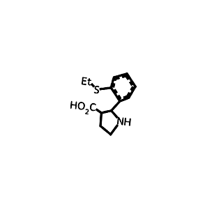 CCSc1ccccc1C1NCCC1C(=O)O